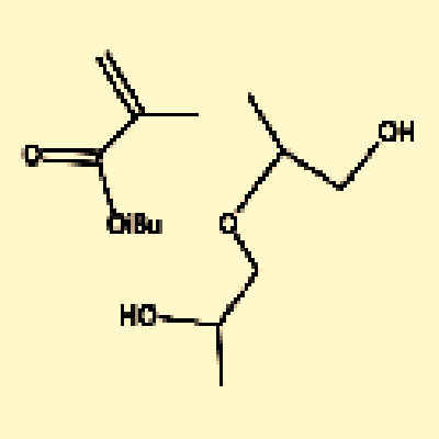 C=C(C)C(=O)OCC(C)C.CC(O)COC(C)CO